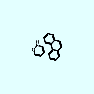 C1=COPC=C1.c1ccc2c(c1)ccc1ccccc12